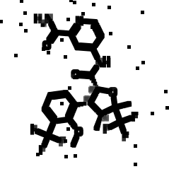 COc1c([C@@H]2[C@H](C(=O)Nc3ccnc(C(N)=O)c3)OC(C)(C(F)(F)F)[C@H]2C)cccc1C(F)(F)F